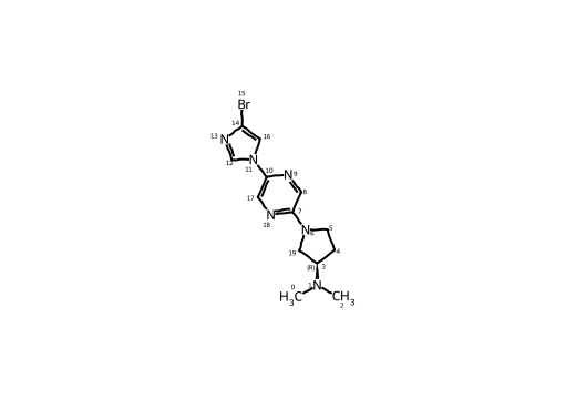 CN(C)[C@@H]1CCN(c2cnc(-n3cnc(Br)c3)cn2)C1